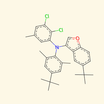 Cc1cc(Cl)c(Cl)c(N(c2c(C)cc(C(C)(C)C)cc2C)c2coc3ccc(C(C)(C)C)cc23)c1